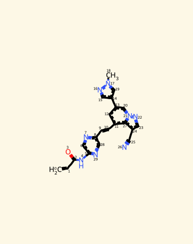 C=CC(=O)Nc1cnc(/C=C/c2cc(-c3cnn(C)c3)cn3ncc(C#N)c23)cn1